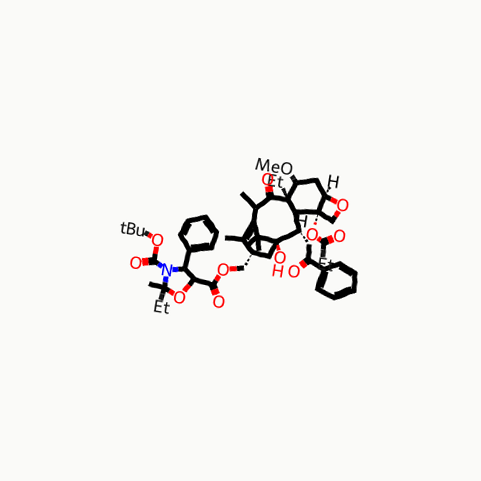 CCC(=O)O[C@@]12CO[C@@H]1CC(OC)[C@@]1(CC)C(=O)C(C)C3=C(C)[C@@H](COC(=O)C4OC(C)(CC)N(C(=O)OC(C)(C)C)C4c4ccccc4)C[C@@](O)([C@@H](CC(=O)c4ccccc4)[C@H]21)C3(C)C